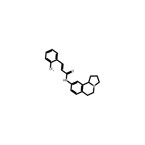 O=C(C=Cc1ccccc1C(F)(F)F)Nc1ccc2c(c1)C1CCCN1CC2